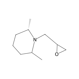 CC1CCC[C@H](C)N1CC1CO1